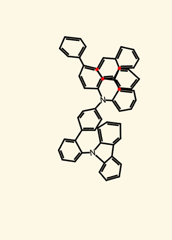 c1ccc(-c2ccc(N(c3ccc(-c4ccccc4-n4c5ccccc5c5ccccc54)cc3)c3ccccc3-c3cccc4ccccc34)c(-c3ccccc3)c2)cc1